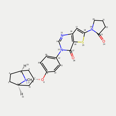 CN1[C@@H]2CC[C@H]1C[C@H](Oc1ccc(-n3cnc4cc(N5CCCC5=O)sc4c3=O)cc1)C2